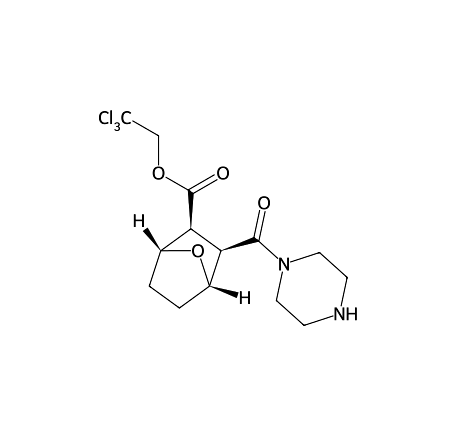 O=C(OCC(Cl)(Cl)Cl)[C@H]1[C@@H](C(=O)N2CCNCC2)[C@@H]2CC[C@H]1O2